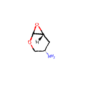 N[C@@H]1COC2O[C@@H]2C1